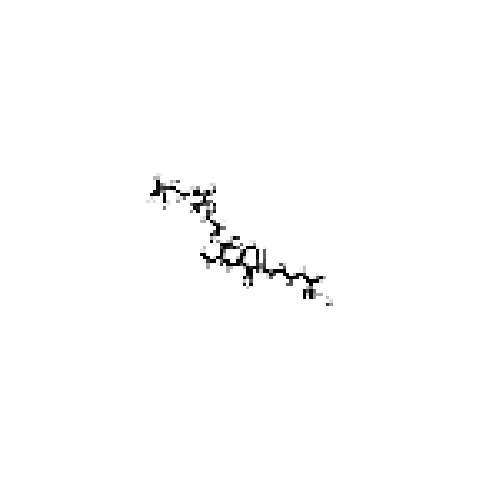 CCC(CC(CC)C(=O)OCCOP(=O)([O-])OCC[N+](C)(C)C)C(=O)NCCCCC(C)N